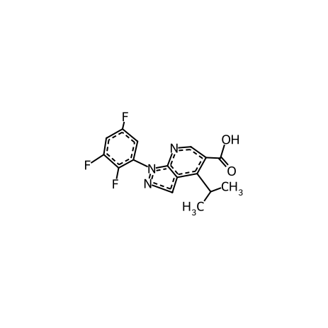 CC(C)c1c(C(=O)O)cnc2c1cnn2-c1cc(F)cc(F)c1F